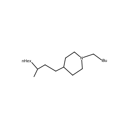 CCCCCCC(C)CCC1CCN(CC(C)CC)CC1